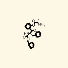 C[C@H](N)C(=O)Oc1ccccc1C(=O)[C@H](Cc1ccccc1)NC(=O)OCc1ccccc1